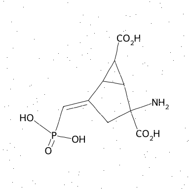 NC1(C(=O)O)C/C(=C\P(=O)(O)O)C2C(C(=O)O)C21